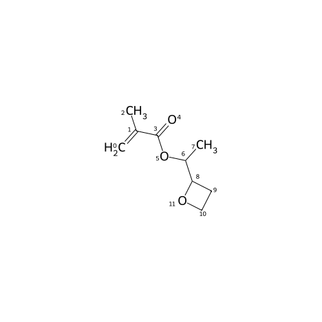 C=C(C)C(=O)OC(C)C1CCO1